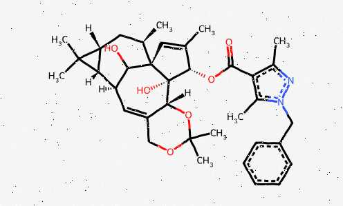 CC1=C[C@]23C(O)[C@@H](C=C4COC(C)(C)O[C@H]4[C@]2(O)[C@H]1OC(=O)c1c(C)nn(Cc2ccccc2)c1C)[C@H]1[C@@H](C[C@H]3C)C1(C)C